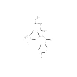 Cc1c(C(C)C(=O)O)c2cc3c(cc2n1C(=O)c1ccc(Cl)cc1)COO3